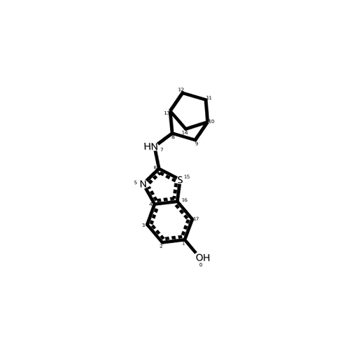 Oc1ccc2nc(NC3CC4CCC3C4)sc2c1